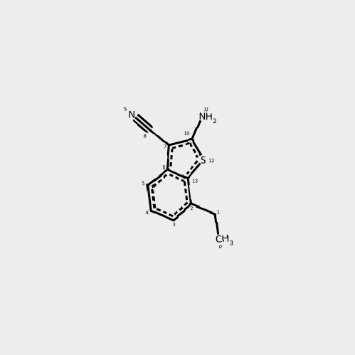 CCc1cccc2c(C#N)c(N)sc12